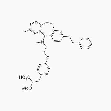 COC(Cc1ccc(OCCN(C)C2c3ccc(CCc4ccccc4)cc3CCc3ccc(C)cc32)cc1)C(=O)O